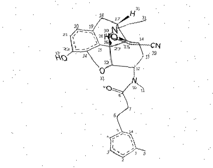 Cc1cccc(CCC(=O)N(C)C2CC[C@@]3(O)[C@H]4Cc5ccc(O)c6c5[C@@]3(CC(C#N)N4C)C2O6)c1